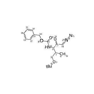 CC(COC(C)(C)C)C(NC(=O)OCc1ccccc1)C(=O)C=[N+]=[N-]